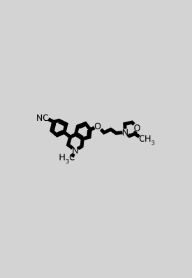 CC1CN(CCCOc2ccc3c(c2)CN(C)CC3c2ccc(C#N)cc2)CCO1